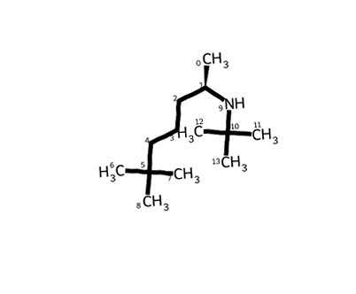 C[C@H](CCCC(C)(C)C)NC(C)(C)C